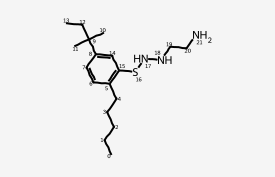 CCCCCc1ccc(C(C)(C)CC)cc1SNNCCN